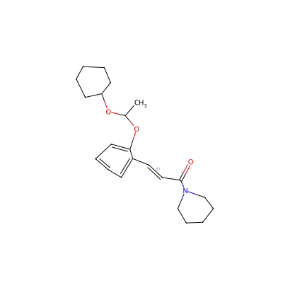 CC(Oc1ccccc1/C=C/C(=O)N1CCCCC1)OC1CCCCC1